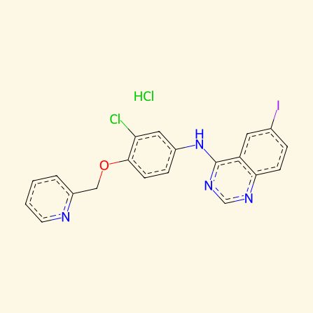 Cl.Clc1cc(Nc2ncnc3ccc(I)cc23)ccc1OCc1ccccn1